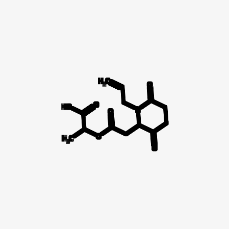 C=CCN1C(=O)CCC(=O)C1CC(=O)OC(C)C(=O)O